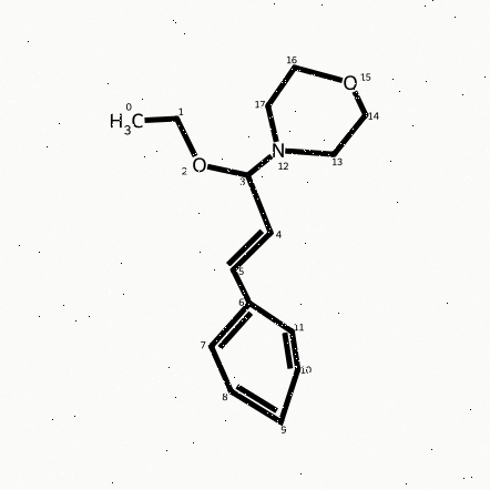 CCOC(C=Cc1ccccc1)N1CCOCC1